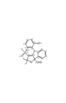 CC1(C)OC(C=O)(c2ccccc2)C(Oc2ncccc2Cl)=C1S(C)(=O)=O